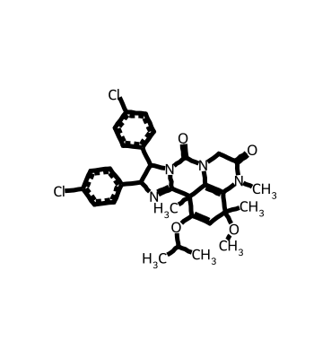 COC1(C)C=C(OC(C)C)C2(C)C3=NC(c4ccc(Cl)cc4)C(c4ccc(Cl)cc4)N3C(=O)N3CC(=O)N(C)C1=C32